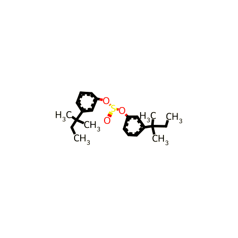 CCC(C)(C)c1cccc(OS(=O)Oc2cccc(C(C)(C)CC)c2)c1